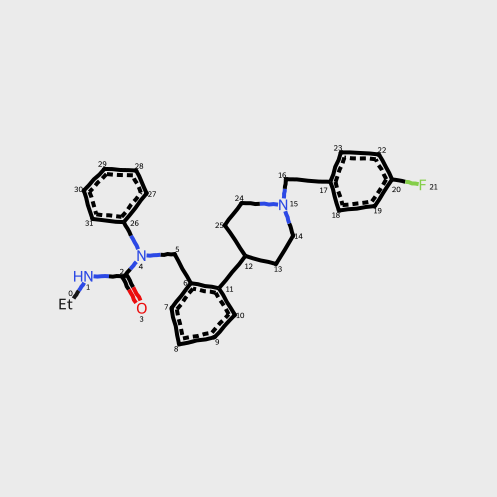 CCNC(=O)N(Cc1ccccc1C1CCN(Cc2ccc(F)cc2)CC1)c1ccccc1